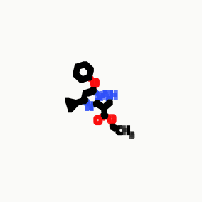 CCOC(=O)C1CNN2C(OC3CCCCC3)=CC(C3CC3)=NC12